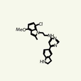 COc1ccc(Cl)c2c1cc(C)n2CCNc1cc(-c2ccc3c(c2)CCN3)ncn1